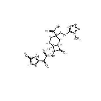 Cn1nnnc1SCC1(C(=O)O)CS[C@@H]2C(NC(=O)C(=O)c3csc(=O)[nH]3)C(=O)N2C1